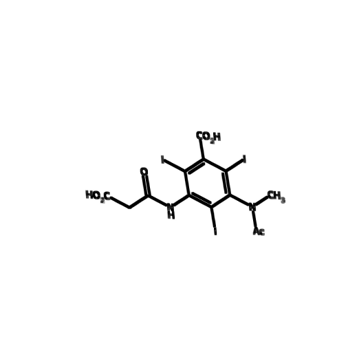 CC(=O)N(C)c1c(I)c(NC(=O)CC(=O)O)c(I)c(C(=O)O)c1I